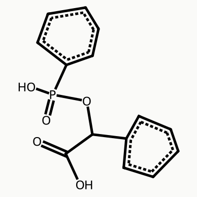 O=C(O)C(OP(=O)(O)c1ccccc1)c1ccccc1